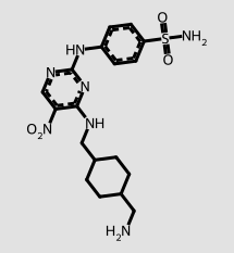 NCC1CCC(CNc2nc(Nc3ccc(S(N)(=O)=O)cc3)ncc2[N+](=O)[O-])CC1